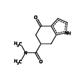 CN(C)C(=O)C1CC(=O)c2cc[nH]c2C1